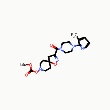 CC(C)(C)OC(=O)ON1CCC2(CC1)CC(C(=O)N1CCN(c3ncccc3C(F)(F)F)CC1)=NO2